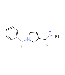 CCN[C@H](C)[C@@H]1CCN([C@H](C)c2ccccc2)C1